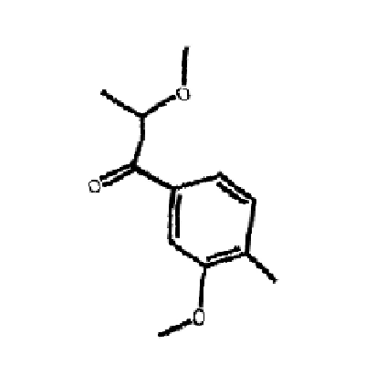 COc1cc(C(=O)C(C)OC)ccc1C